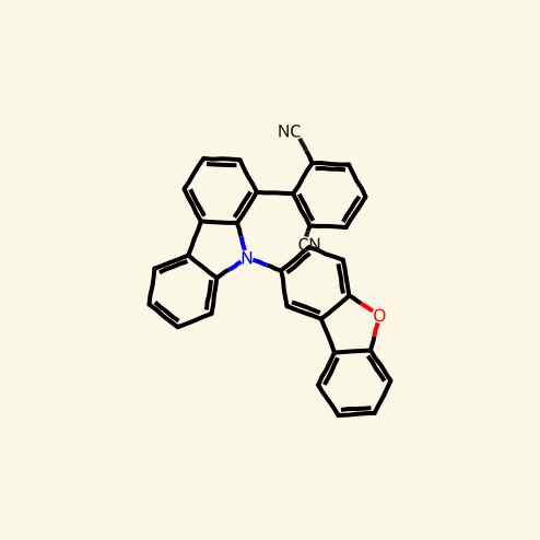 N#Cc1cccc(C#N)c1-c1cccc2c3ccccc3n(-c3ccc4oc5ccccc5c4c3)c12